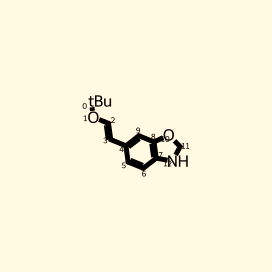 CC(C)(C)OC=Cc1ccc2c(c1)OCN2